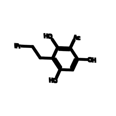 CC(=O)c1c(O)cc(O)c(CCC(C)C)c1O